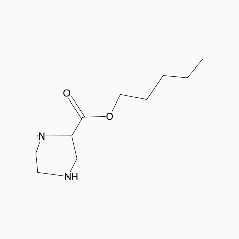 CCCCCOC(=O)C1CNCC[N]1